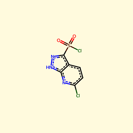 O=S(=O)(Cl)c1n[nH]c2nc(Cl)ccc12